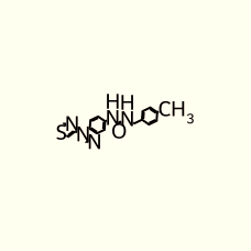 Cc1ccc(CNC(=O)Nc2ccc3c(c2)ncn3-c2cscn2)cc1